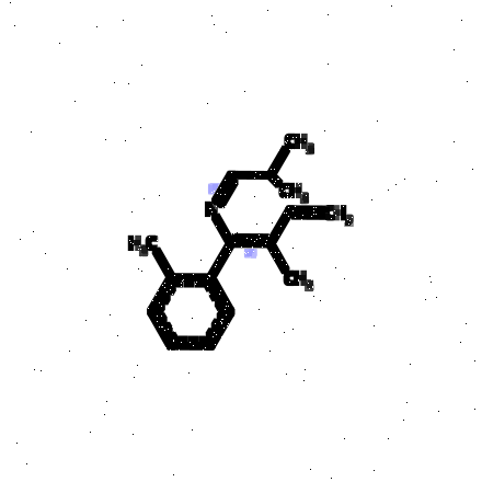 C=C/C(C)=C(\N=C/C(C)C)c1ccccc1C